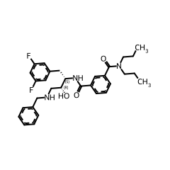 CCCN(CCC)C(=O)c1cccc(C(=O)N[C@@H](Cc2cc(F)cc(F)c2)[C@H](O)CNCc2ccccc2)c1